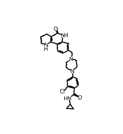 O=C(NC1CC1)c1ccc(N2CCN(Cc3ccc4c5c(c(=O)[nH]c4c3)CCCN5)CC2)cc1Cl